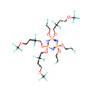 FCCOP1(OCCF)=NP(OCC(F)(F)CCOC(F)(F)F)(OCC(F)(F)CCOC(F)(F)F)=NP(OCCF)(OCC(F)(F)CCOC(F)(F)F)=N1